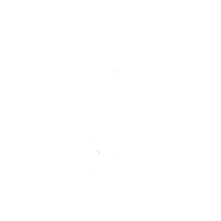 O=C(O)C1C=CC=CC1(O)c1ccccc1CO[N+](=O)[O-]